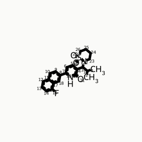 CC(C)C(c1ccc(-c2ccc3cccc(F)c3c2)[nH]c1=O)N1CCCCS1(=O)=O